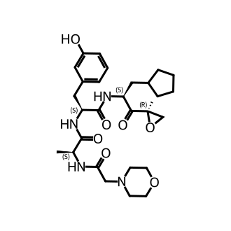 C[C@H](NC(=O)CN1CCOCC1)C(=O)N[C@@H](Cc1cccc(O)c1)C(=O)N[C@@H](CC1CCCC1)C(=O)[C@@]1(C)CO1